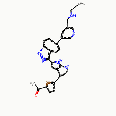 CCNCc1cncc(-c2ccc3[nH]nc(-c4cc5c(-c6ccc(C(C)=O)s6)ccnc5[nH]4)c3c2)c1